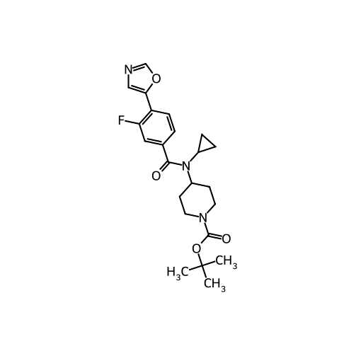 CC(C)(C)OC(=O)N1CCC(N(C(=O)c2ccc(-c3cnco3)c(F)c2)C2CC2)CC1